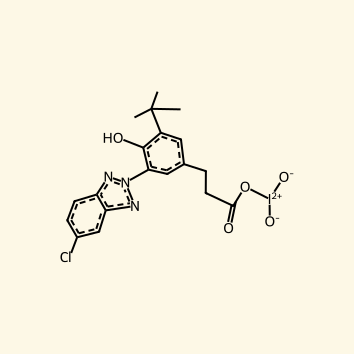 CC(C)(C)c1cc(CCC(=O)O[I+2]([O-])[O-])cc(-n2nc3ccc(Cl)cc3n2)c1O